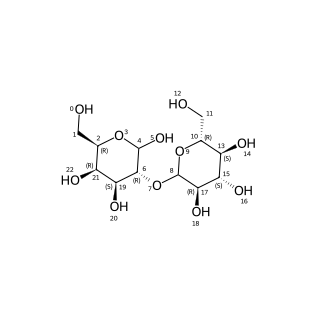 OC[C@H]1OC(O)[C@H](OC2O[C@H](CO)[C@@H](O)[C@H](O)[C@H]2O)[C@@H](O)[C@H]1O